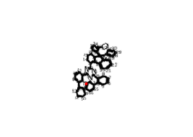 c1ccc(-c2ccccc2-c2nc(-c3cccc4c3-c3ccccc3C43c4ccccc4Oc4ccccc43)nc(-c3cccc4c3oc3ccccc34)n2)cc1